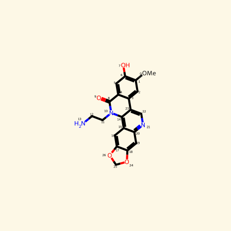 COc1cc2c(cc1O)c(=O)n(CCN)c1c3cc4c(cc3ncc21)OCO4